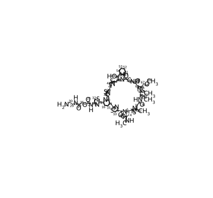 CNC(=O)C[C@@H]1NC(=O)c2csc(n2)-c2ccc(-c3nc(NC(=O)OCC(=O)NCCN)cs3)nc2-c2csc(n2)-c2csc(n2)[C@H]([C@@H](O)c2ccccc2)NC(=O)CNC(=O)c2nc(sc2COC)[C@@H](C(C)C)NC(=O)c2nc1sc2C